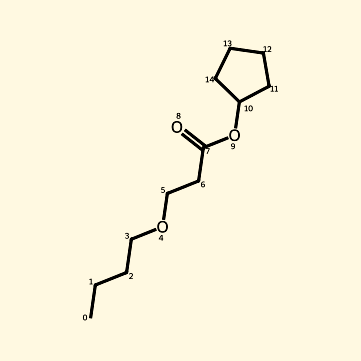 CCCCOCCC(=O)OC1CCCC1